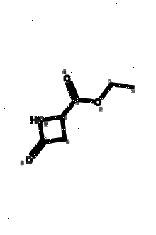 CCOC(=O)C1CC(=O)N1